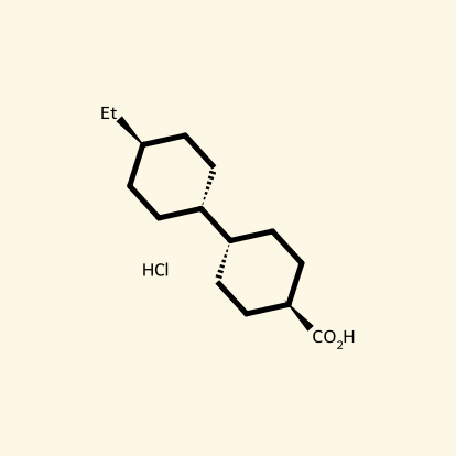 CC[C@H]1CC[C@H]([C@H]2CC[C@H](C(=O)O)CC2)CC1.Cl